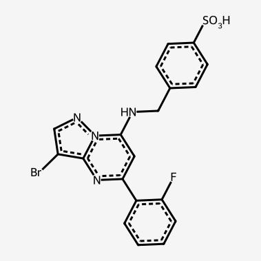 O=S(=O)(O)c1ccc(CNc2cc(-c3ccccc3F)nc3c(Br)cnn23)cc1